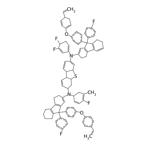 C=Cc1ccc(Oc2ccc(C3(c4ccc(F)cc4)C4=C(CCC(N(C5C=CC(F)=C(C)C5)C5C=CC6C(C5)SC5C=C(N(C7=CCC(F)C(F)=C7)C7=CC8=C(CC7)C7=C(CCC=C7)C8(c7ccc(F)cc7)c7ccc(OC8=CCC(C=C)C=C8)cc7)C=CC56)=C4)C4=C3CCCC4)cc2)cc1